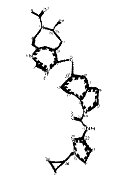 CC(=O)N1Cc2ncnc(Oc3ccc4c(ccn4C(=O)Nc4ccn(C5CC5)n4)c3)c2C[C@@H]1C